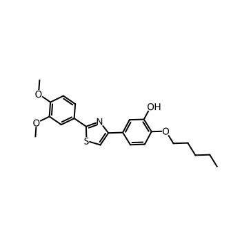 CCCCCOc1ccc(-c2csc(-c3ccc(OC)c(OC)c3)n2)cc1O